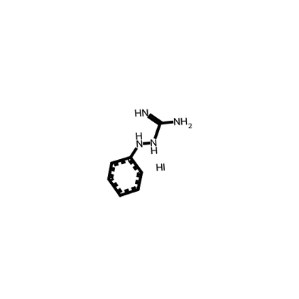 I.N=C(N)NNc1ccccc1